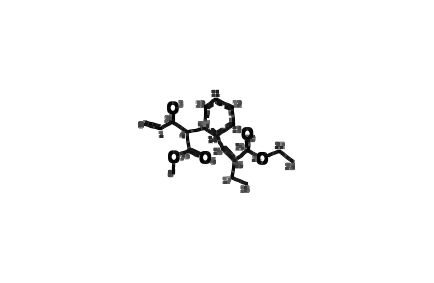 C=CC(=O)C(C(=O)OC)c1ccccc1C=C(CC)C(=O)OCC